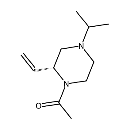 C=C[C@@H]1CN(C(C)C)CCN1C(C)=O